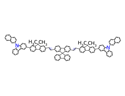 CC1(C)c2cc(/C=C/c3ccc4c(c3)C3(c5ccccc5-c5ccccc53)c3cc(/C=C/c5ccc6c(c5)C(C)(C)c5cc(-c7ccc8c(c7)c7ccccc7n8-c7ccc8ccccc8c7)ccc5-6)ccc3-4)ccc2-c2ccc(-c3ccc4c(c3)c3ccccc3n4-c3ccc4ccccc4c3)cc21